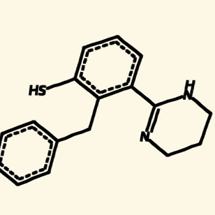 Sc1cccc(C2=NCCCN2)c1Cc1ccccc1